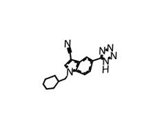 N#Cc1cn(CC2CCCCC2)c2ccc(-c3nnn[nH]3)cc12